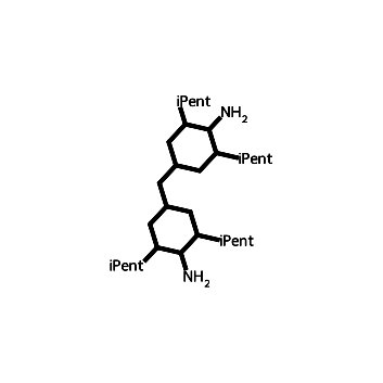 CCCC(C)C1CC(CC2CC(C(C)CCC)C(N)C(C(C)CCC)C2)CC(C(C)CCC)C1N